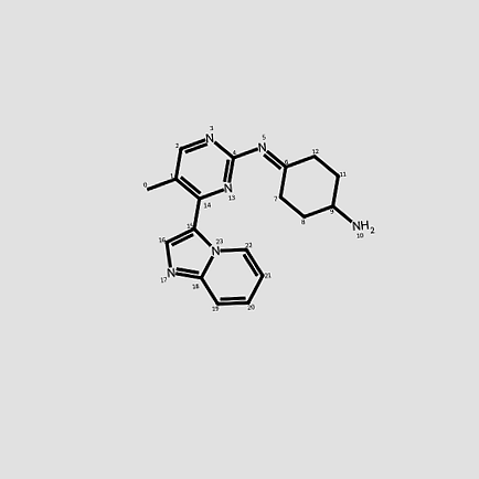 Cc1cnc(N=C2CCC(N)CC2)nc1-c1cnc2ccccn12